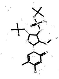 COC1C(OP(=O)(O)OC(C)(C)C)[C@@H](CC(C)(C)C)O[C@H]1n1cc(C)c(N)nc1=O